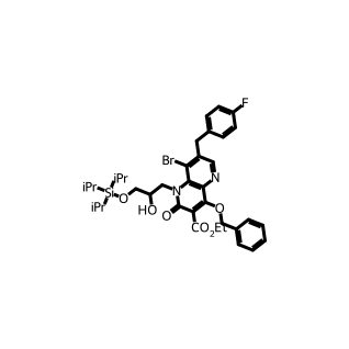 CCOC(=O)c1c(OCc2ccccc2)c2ncc(Cc3ccc(F)cc3)c(Br)c2n(CC(O)CO[Si](C(C)C)(C(C)C)C(C)C)c1=O